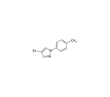 CCc1[c]nn(-c2ccc(C)cc2)c1